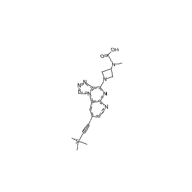 CN(C(=O)O)C1CN(c2nc3ncc(C#C[Si](C)(C)C)cc3n3cnnc23)C1